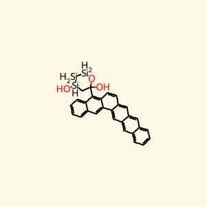 O[SiH]1CC(O)(c2c3ccccc3cc3c2ccc2cc4cc5ccccc5cc4cc23)O[SiH2][SiH2]1